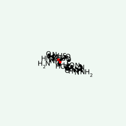 Nc1nc2c(ncn2[C@@H]2O[C@@H]3CCC45O[C@@H]6[C@H]4C5(COP(=O)(S)O[C@@H]2[C@@H]3F)O[C@H]6n2cnc3c(N)ncnc32)c(=O)[nH]1